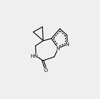 O=C1Cn2nccc2C2(CC2)CN1